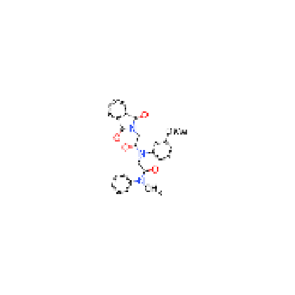 COc1cccc(N(CC(=O)N(C)c2ccccc2)C(=O)CN2C(=O)c3ccccc3C2=O)c1